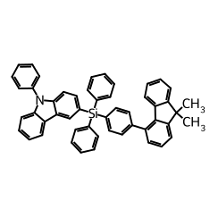 CC1(C)c2ccccc2-c2c(-c3ccc([Si](c4ccccc4)(c4ccccc4)c4ccc5c(c4)c4ccccc4n5-c4ccccc4)cc3)cccc21